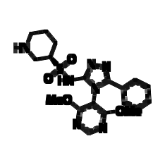 COc1ncnc(OC)c1-n1c(NS(=O)(=O)[C@@H]2CCCNC2)nnc1-c1ccccc1